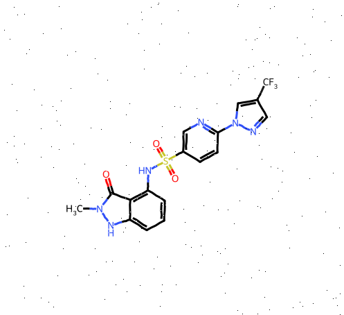 Cn1[nH]c2cccc(NS(=O)(=O)c3ccc(-n4cc(C(F)(F)F)cn4)nc3)c2c1=O